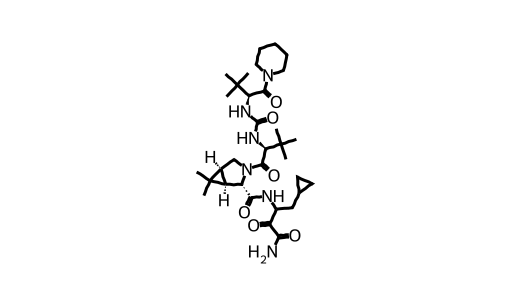 CC(C)(C)[C@H](NC(=O)N[C@H](C(=O)N1C[C@H]2[C@@H]([C@H]1C(=O)NC(CC1CC1)C(=O)C(N)=O)C2(C)C)C(C)(C)C)C(=O)N1CCCCC1